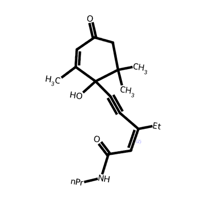 CCCNC(=O)/C=C(\C#CC1(O)C(C)=CC(=O)CC1(C)C)CC